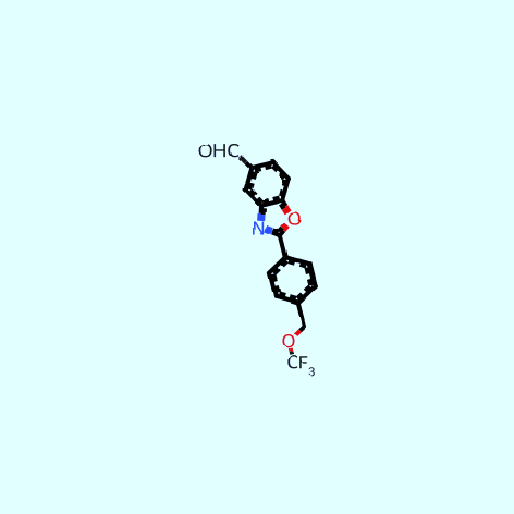 O=Cc1ccc2oc(-c3ccc(COC(F)(F)F)cc3)nc2c1